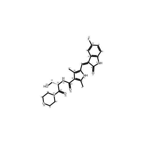 Cc1[nH]c(/C=C2\C(=O)Nc3ccc(F)cc32)c(C)c1C(=O)N[C@@H](CO)C(=O)N1CCOCC1